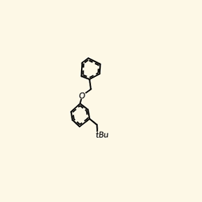 CC(C)(C)Cc1cccc(OCc2ccccc2)c1